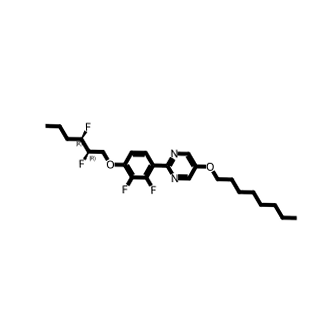 CCCCCCCCOc1cnc(-c2ccc(OC[C@@H](F)[C@H](F)CCC)c(F)c2F)nc1